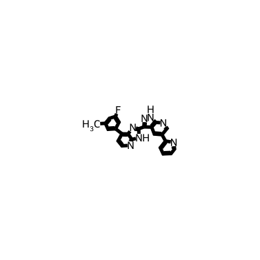 Cc1cc(F)cc(-c2ccnc3[nH]c(-c4n[nH]c5ncc(-c6ccccn6)cc45)nc23)c1